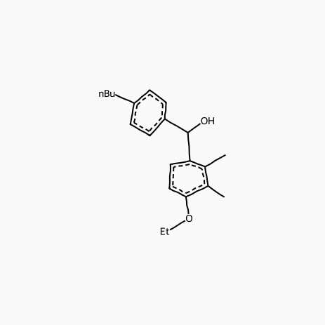 CCCCc1ccc(C(O)c2ccc(OCC)c(C)c2C)cc1